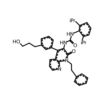 CC(C)c1cccc(C(C)C)c1NC(=O)Nc1c(-c2cccc(CCCO)c2)c2cccnc2n(CCc2ccccc2)c1=O